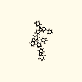 c1ccc(-c2ccc3c(c2)c2cc(-c4ccc5c(c4)oc4cccc(-c6cc(-c7ccc8c(c7)oc7ccccc78)nc(-c7ccccc7)n6)c45)ccc2n3-c2ccccc2)cc1